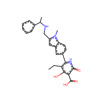 CCc1c(-c2ccc3c(c2)cc(CNC(C)c2ccccc2)n3C)[nH]c(=O)c(C(=O)O)c1O